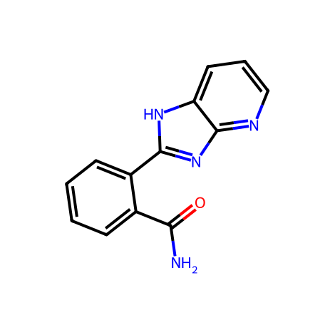 NC(=O)c1ccccc1-c1nc2ncccc2[nH]1